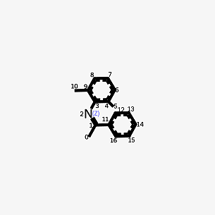 C/C(=N/c1c(C)cccc1C)c1ccccc1